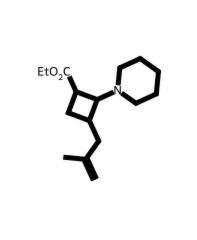 C=C(C)CC1CC(C(=O)OCC)C1N1CCCCC1